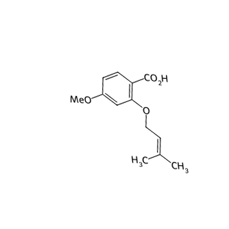 COc1ccc(C(=O)O)c(OCC=C(C)C)c1